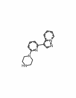 c1cc(-c2cnn3ccccc23)nc(N2CCNCC2)c1